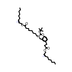 CCCCCC/C=C\COC(=O)CCCCCCCN(Cc1cccc(CCC(=O)OC/C=C\CCCCCC)c1)C(=O)OC(C)(C)C